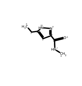 CCc1cc(C(=O)NC)n[nH]1